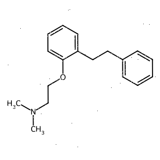 CN(C)CCOc1ccccc1CCc1ccccc1